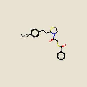 COc1ccc(CCC2SCCN2C(=O)CSC(=O)c2ccccc2)cc1